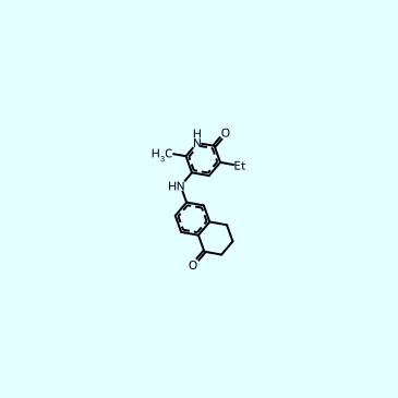 CCc1cc(Nc2ccc3c(c2)CCCC3=O)c(C)[nH]c1=O